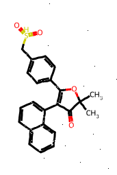 CC1(C)OC(c2ccc(C[SH](=O)=O)cc2)=C(c2cccc3ccccc23)C1=O